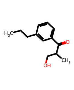 [CH2]CCc1cccc(C(=O)C(C)CO)c1